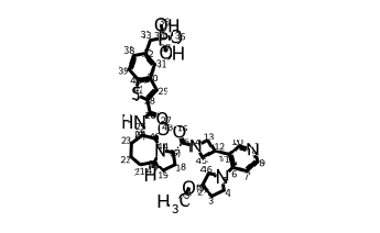 CO[C@H]1CCN(c2ccncc2C2CN(C(=O)[C@@H]3CC[C@@H]4CCC[C@H](NC(=O)c5cc6cc(CP(=O)(O)O)ccc6s5)C(=O)N43)C2)C1